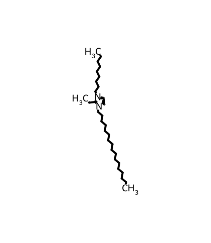 CCCCCCCCCCCCCCCCC[n+]1ccn(CCCCCCCCC)c1CC